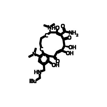 CCC(C)CNCc1cc(N(C)C)c2c(c1O)C(=O)/C=C(\O)[C@H](O)C(=O)/C(C(N)=O)=C(/O)[C@@H](N(C)C)CCCC2